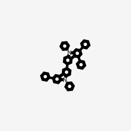 c1ccc(-c2ccc3c(c2)c2cc(-c4ccc5c(c4)c4c(-c6ccccc6)cc(-c6ccccc6)cc4n5-c4ccccc4)ccc2n3-c2ccccc2)cc1